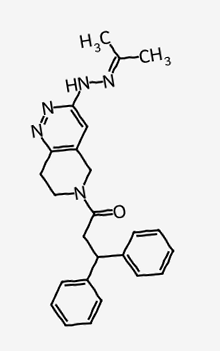 CC(C)=NNc1cc2c(nn1)CCN(C(=O)CC(c1ccccc1)c1ccccc1)C2